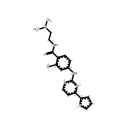 CN(C)CCNC(=O)c1ccc(Nc2nccc(-c3cccs3)n2)cc1Cl